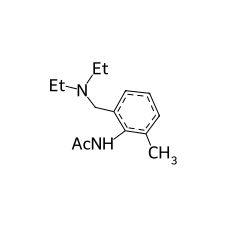 CCN(CC)Cc1cccc(C)c1NC(C)=O